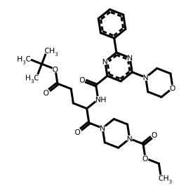 CCOC(=O)N1CCN(C(=O)C(CCC(=O)OC(C)(C)C)NC(=O)c2cc(N3CCOCC3)nc(-c3ccccc3)n2)CC1